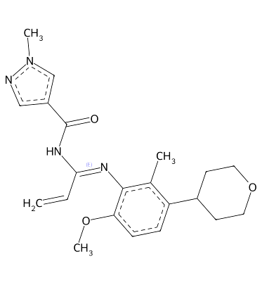 C=C/C(=N\c1c(OC)ccc(C2CCOCC2)c1C)NC(=O)c1cnn(C)c1